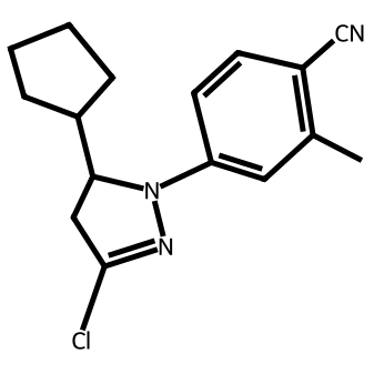 Cc1cc(N2N=C(Cl)CC2C2CCCC2)ccc1C#N